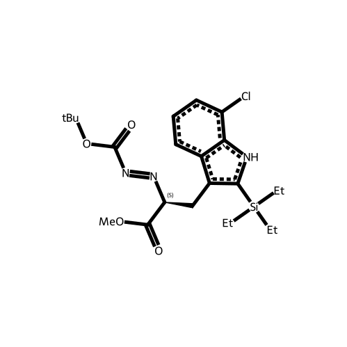 CC[Si](CC)(CC)c1[nH]c2c(Cl)cccc2c1C[C@H](N=NC(=O)OC(C)(C)C)C(=O)OC